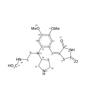 COc1cc(C=C2SC(=O)NC2=O)c(N(CCNC(=O)O)C2CCNC2)cc1OC